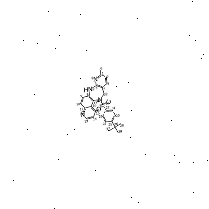 Cc1ccc2c(n1)Nc1ccc3ncccc3c1N(S(=O)(=O)c1ccc(C(C)(C)C)cc1)C2